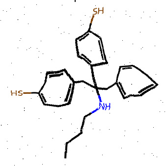 CCCCNC(c1ccccc1)(c1ccc(S)cc1)c1ccc(S)cc1